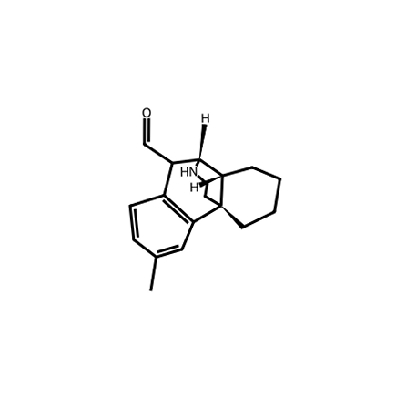 Cc1ccc2c(c1)[C@@]13CCCC[C@H]1[C@H](NCC3)C2C=O